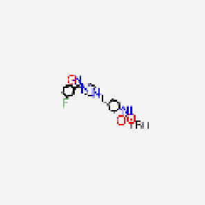 CC(C)(C)OC(=O)N[C@H]1CC[C@H](CCN2CCN(c3noc4ccc(F)cc34)CC2)CC1